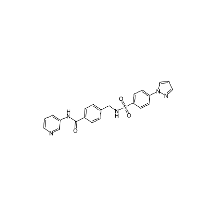 O=C(Nc1cccnc1)c1ccc(CNS(=O)(=O)c2ccc(-n3cccn3)cc2)cc1